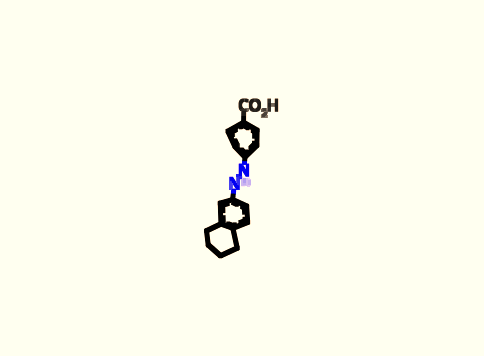 O=C(O)c1ccc(/N=N/c2ccc3c(c2)CCCC3)cc1